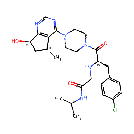 CC(C)NC(=O)CN[C@H](Cc1ccc(Cl)cc1)C(=O)N1CCN(c2ncnc3c2[C@H](C)C[C@H]3O)CC1